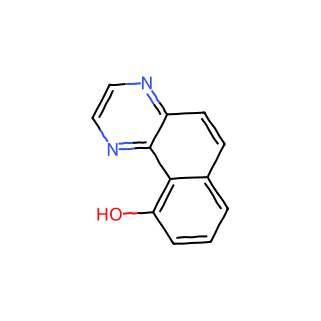 Oc1cccc2ccc3nccnc3c12